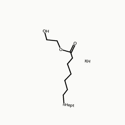 CCCCCCCCCCCCCC(=O)OCCO.[KH]